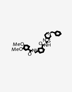 COc1ccc(C(=O)NCc2cccc(C(=O)Nc3nc4c(s3)CN(Cc3ccccc3)CC4)c2)cc1OC